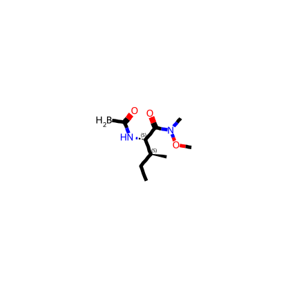 BC(=O)N[C@H](C(=O)N(C)OC)[C@@H](C)CC